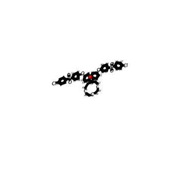 O=S(=O)(c1ccc(Cl)cc1)c1ccc(Oc2ccc(C3(c4ccc(Oc5ccc(S(=O)(=O)c6ccc(Cl)cc6)cc5)cc4)CCCCCCCCCCC3)cc2)cc1